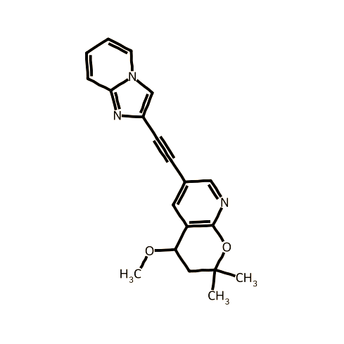 COC1CC(C)(C)Oc2ncc(C#Cc3cn4ccccc4n3)cc21